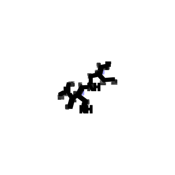 C=C(/C(C=N)=C/NC/C(=C/F)CC)N(C)C